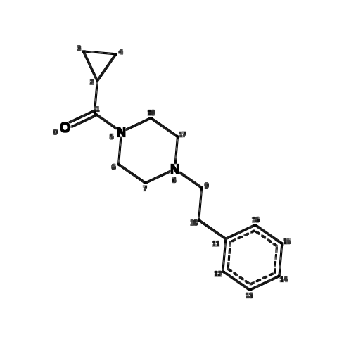 O=C(C1CC1)N1CCN(CCc2ccccc2)CC1